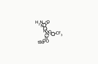 CC(C)(C)OC(=O)N1CCN(C(=O)c2cc3c4c(c(N)nc3cn2)COC4)[C@H](c2ccc(C(F)(F)F)cc2)C1